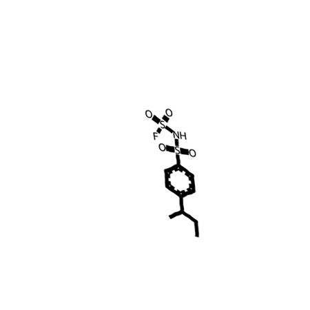 CCC(C)c1ccc(S(=O)(=O)NS(=O)(=O)F)cc1